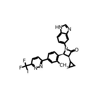 Cc1cc(-c2ccc(C(F)(F)I)nn2)ccc1[C@@H]1[C@H](C2CC2)C(=O)N1c1ccc2[nH]cnc2c1